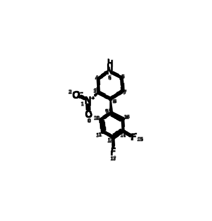 O=[N+]([O-])[C@@H]1CNCC[C@H]1c1ccc(F)c(F)c1